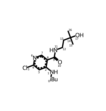 CCC(C)Nc1cc(Cl)ncc1C(=O)NCCC(C)(C)O